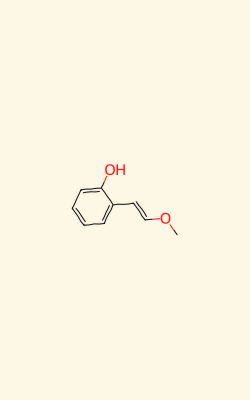 COC=Cc1ccccc1O